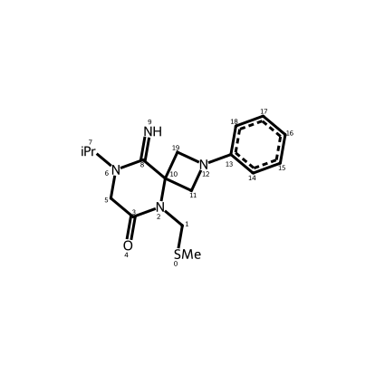 CSCN1C(=O)CN(C(C)C)C(=N)C12CN(c1ccccc1)C2